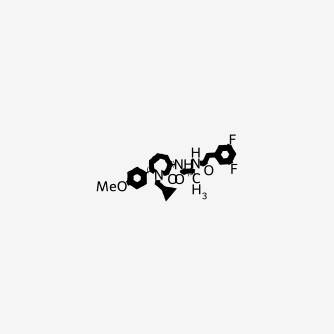 COc1ccc([C@@H]2C=CC[C@H](NC(=O)[C@H](C)NC(=O)Cc3cc(F)cc(F)c3)C(=O)N2CC2CC2)cc1